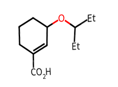 CCC(CC)OC1C=C(C(=O)O)CCC1